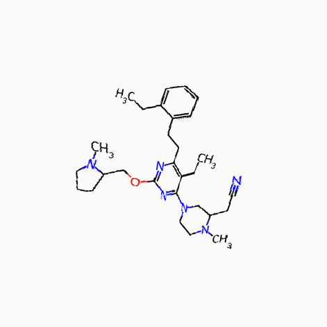 CCc1ccccc1CCc1nc(OCC2CCCN2C)nc(N2CCN(C)C(CC#N)C2)c1CC